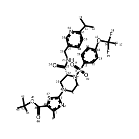 Cc1nc(N2CCN(S(=O)(=O)c3ccc(OC(F)(F)F)cc3)[C@@H](C(=O)NCc3ccc(C(C)C)nc3)C2)sc1C(=O)OC(C)(C)C